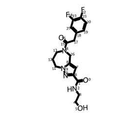 O=C(NCCO)c1cc2n(n1)CCCN(C(=O)Cc1ccc(F)c(F)c1)C2